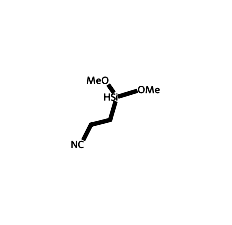 CO[SiH](CCC#N)OC